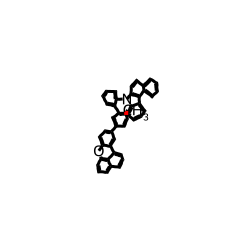 Cc1ccc(-c2ccc3c(c2)-c2cccc4cccc(c24)O3)cc1-c1ccccc1-n1c2ccccc2c2c3ccccc3ccc21